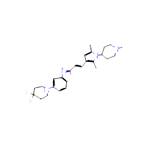 Cc1cc(/C=C/c2nc3cc(N4CCC(F)(F)CC4)ccc3o2)c(C)n1C1CCN(C)CC1